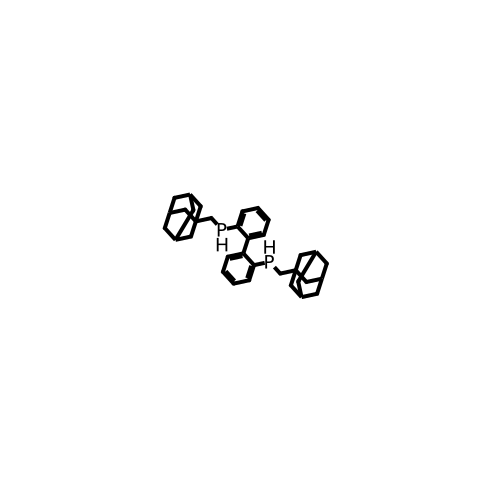 c1ccc(-c2ccccc2PCC23CC4CC(CC(C4)C2)C3)c(PCC23CC4CC(CC(C4)C2)C3)c1